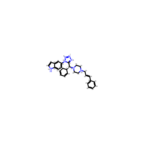 C1=CCC([C@@H](c2nnnn2-c2ccc3[nH]ccc3c2)N2CCN(C/C=C/c3ccccc3)CC2)C=C1